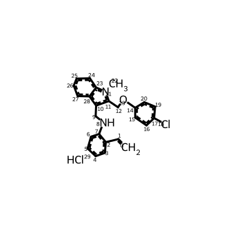 C=Cc1ccccc1NCc1c(COc2ccc(Cl)cc2)n(C)c2ccccc12.Cl